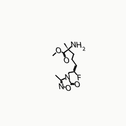 COC(=O)[C@](C)(N)CC/C=C(/F)Cn1c(C)noc1=O